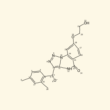 Cc1ccc([S+]([O-])c2nnn3c2[nH]c(=O)c2ccc(OCCO)cc23)c(C)c1